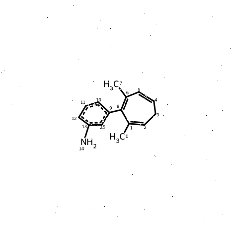 CC1=CCC=CC(C)=C1c1cccc(N)c1